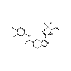 C[C@@H](NC(=O)c1onc2c1CN(C(=O)Nc1ccc(F)c(F)c1)CC2)C(F)(F)F